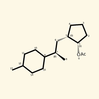 CC(=O)O[C@H]1CCC[C@H]1C[C@@H](C)C1CCC(C)CC1